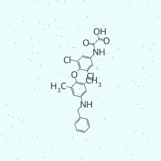 Cc1cc(NCc2ccccc2)cc(C)c1Oc1c(Cl)cc(NC(=O)C(=O)O)cc1Cl